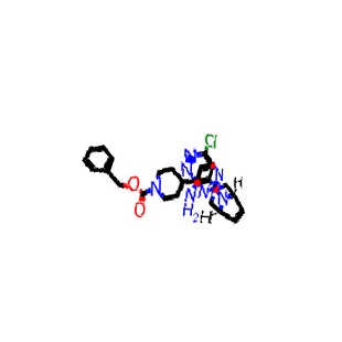 Nc1nnc(Cl)cc1N1C[C@H]2CC[C@@H](C1)N2c1nccc(C2CCN(C(=O)OCc3ccccc3)CC2)n1